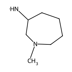 CN1CCCCC([NH])C1